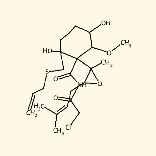 C=CCSCC1(O)CCC(O)C(OC)C1(C(=O)NC(=O)CCl)C1(C)OC1CC=C(C)C